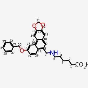 O=C(O)CCCCCNCc1cc2cc3c(cc2c2cc(OCc4ccccc4)ccc12)OCO3